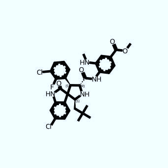 CNc1cc(C(=O)OC)ccc1NC(=O)[C@@H]1N[C@@H](CC(C)(C)C)C2(C(=O)Nc3cc(Cl)ccc32)[C@H]1c1cccc(Cl)c1F